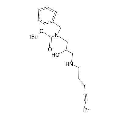 CC(C)C#CCCCNCC(O)CN(Cc1ccccc1)C(=O)OC(C)(C)C